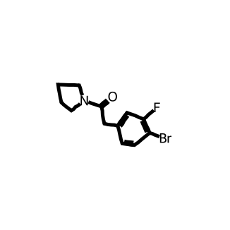 O=C(Cc1ccc(Br)c(F)c1)N1CCCC1